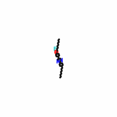 CCCCCCCCc1ccc(-c2ncc(-c3ccc(OCC(F)CCCCCCC)cc3)cn2)cc1